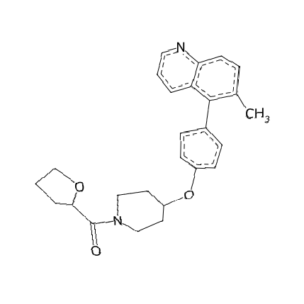 Cc1ccc2ncccc2c1-c1ccc(OC2CCN(C(=O)C3CCCO3)CC2)cc1